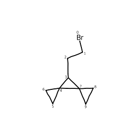 BrCCC1C2(CC2)C12CC2